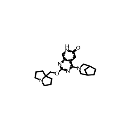 O=c1cc2c(N3CC4CCC(C4)C3)nc(OCC34CCCN3CCC4)nc2c[nH]1